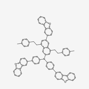 Cc1ccc(CCc2cc(N(c3ccc(-c4ccc5oc6ccccc6c5c4)cc3)c3ccc(-c4ccc5oc6ccccc6c5c4)cc3)cc3c(CCc4ccc(C)cc4)cc(-c4ccc5oc6ccccc6c5c4)cc23)cc1